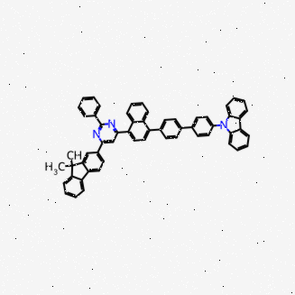 CC1(C)c2ccccc2-c2ccc(-c3cc(-c4ccc(-c5ccc(-c6ccc(-n7c8ccccc8c8ccccc87)cc6)cc5)c5ccccc45)nc(-c4ccccc4)n3)cc21